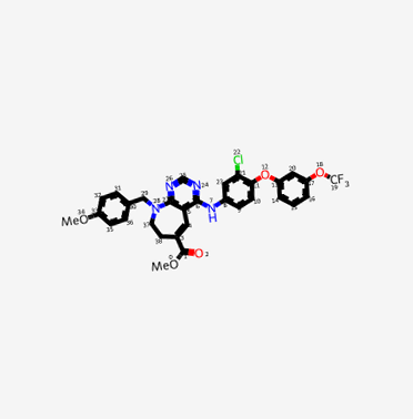 COC(=O)C1=Cc2c(Nc3ccc(Oc4cccc(OC(F)(F)F)c4)c(Cl)c3)ncnc2N(Cc2ccc(OC)cc2)CC1